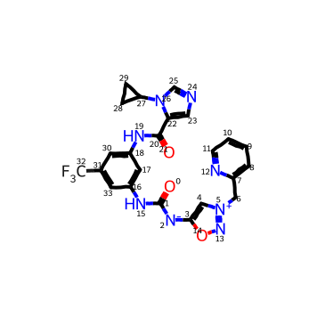 O=C([N-]c1c[n+](Cc2ccccn2)no1)Nc1cc(NC(=O)c2cncn2C2CC2)cc(C(F)(F)F)c1